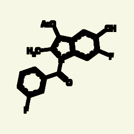 CC(=O)Oc1c(C)n(C(=O)c2cccc(F)c2)c2cc(F)c(O)cc12